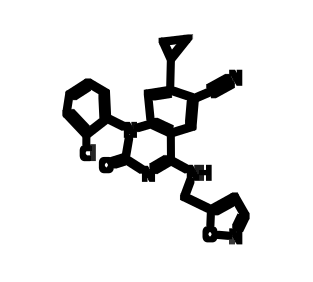 N#Cc1cc2c(NCc3ccno3)nc(=O)n(-c3ccccc3Cl)c2cc1C1CC1